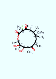 CC[C@H]1OC(=O)[C@@](C)(F)C(=O)[C@H](C)[C@@H](C)[C@](C)(OC)C[C@@H](C)C(=O)[C@H](C)[C@@H](O)[C@]1(C)O